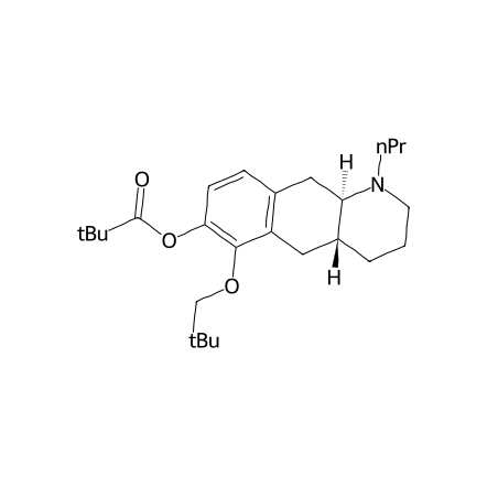 CCCN1CCC[C@@H]2Cc3c(ccc(OC(=O)C(C)(C)C)c3OCC(C)(C)C)C[C@H]21